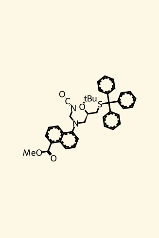 COC(=O)c1cccc2c(N(CN=C=O)C[C@H](CSC(c3ccccc3)(c3ccccc3)c3ccccc3)OC(C)(C)C)cccc12